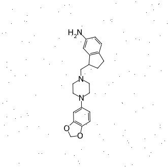 Nc1ccc2c(c1)C(CN1CCN(c3ccc4c(c3)OCO4)CC1)CC2